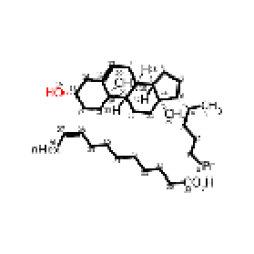 CC(C)CCCC(C)[C@H]1CC[C@H]2[C@@H]3CC=C4C[C@@H](O)CC[C@]4(C)[C@H]3CC[C@]12C.CCCCCC/C=C\CCCCCCCC(=O)O